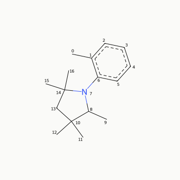 Cc1ccccc1N1C(C)C(C)(C)CC1(C)C